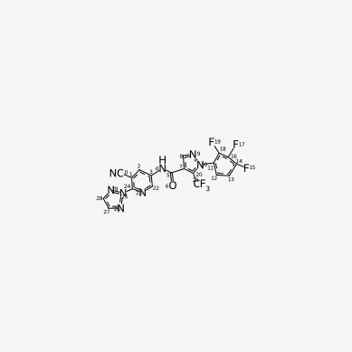 N#Cc1cc(NC(=O)c2cnn(-c3ccc(F)c(F)c3F)c2C(F)(F)F)cnc1-n1nccn1